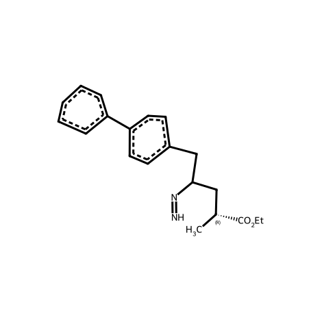 CCOC(=O)[C@H](C)CC(Cc1ccc(-c2ccccc2)cc1)N=N